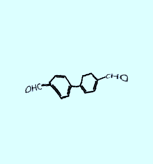 O=CC1=CC=C(c2ccc(C=O)cc2)CC1